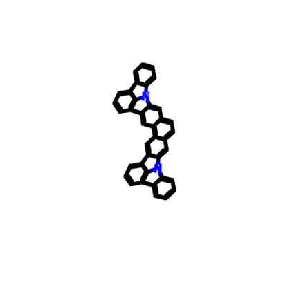 c1ccc2c(c1)c1cccc3c4cc5c(ccc6cc7c(cc65)c5cccc6c8ccccc8n7c65)cc4n2c13